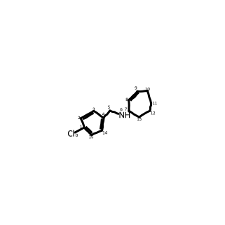 Clc1ccc(CNC2C=CCCCC2)cc1